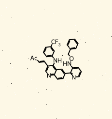 CC(=O)/C=C/c1cnc2ccc(-c3ncccc3NOCc3ccccc3)cc2c1Nc1cccc(C(F)(F)F)c1